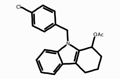 CC(=O)OC1CCCc2c1n(Cc1ccc(Cl)cc1)c1ccccc21